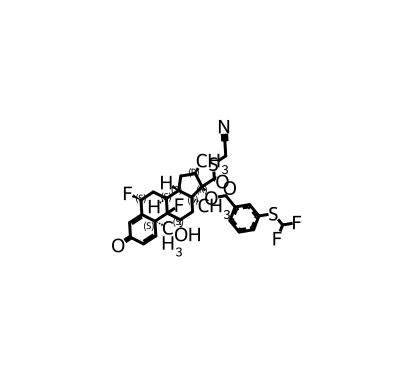 C[C@@H]1C[C@H]2[C@@H]3C[C@H](F)C4=CC(=O)C=C[C@]4(C)C3(F)[C@@H](O)C[C@]2(C)[C@@]1(OC(=O)c1cccc(SC(F)F)c1)C(=O)SCC#N